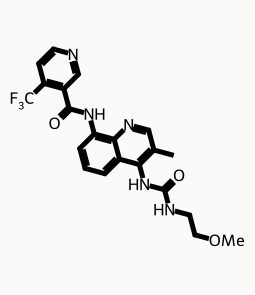 COCCNC(=O)Nc1c(C)cnc2c(NC(=O)c3cnccc3C(F)(F)F)cccc12